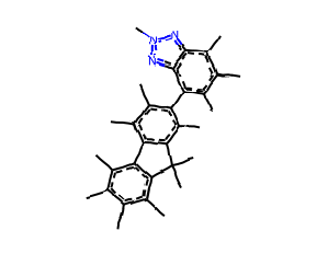 Cc1c(C)c(C)c2c(c1C)-c1c(C)c(C)c(-c3c(C)c(C)c(C)c4nn(C)nc34)c(C)c1C2(C)C